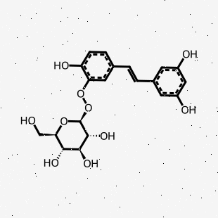 OC[C@H]1O[C@@H](OOc2cc(C=Cc3cc(O)cc(O)c3)ccc2O)[C@H](O)[C@@H](O)[C@@H]1O